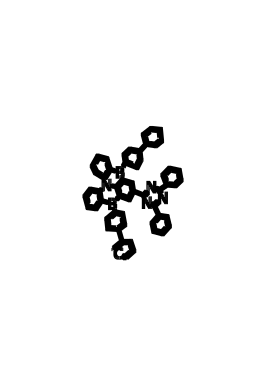 c1ccc(-c2ccc(B3c4ccccc4N4c5ccccc5B(c5ccc(-c6ccccc6)cc5)c5cc(-c6nc(-c7ccccc7)nc(-c7ccccc7)n6)cc3c54)cc2)cc1